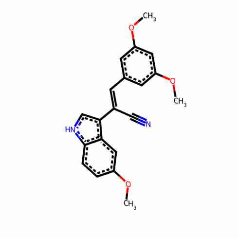 COc1cc(C=C(C#N)c2c[nH]c3ccc(OC)cc23)cc(OC)c1